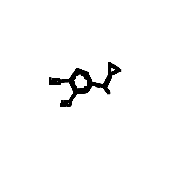 CC(=C1CC1)c1ccc(O)c(O)c1